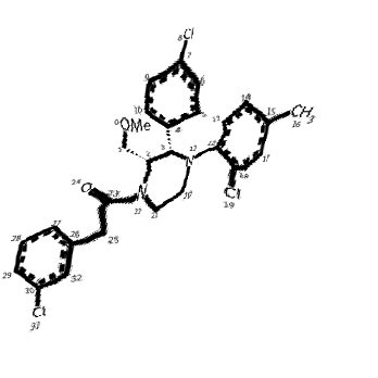 COC[C@@H]1[C@H](c2ccc(Cl)cc2)N(c2ccc(C)cc2Cl)CCN1C(=O)Cc1cccc(Cl)c1